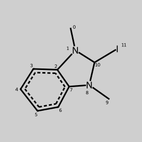 CN1c2ccccc2N(C)C1I